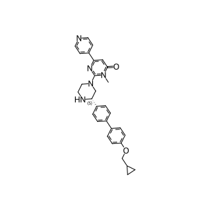 Cn1c(N2CCN[C@@H](c3ccc(-c4ccc(OCC5CC5)cc4)cc3)C2)nc(-c2ccncc2)cc1=O